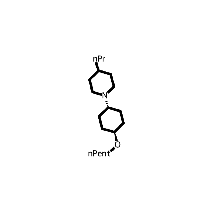 CCCCCO[C@H]1CC[C@H](N2CCC(CCC)CC2)CC1